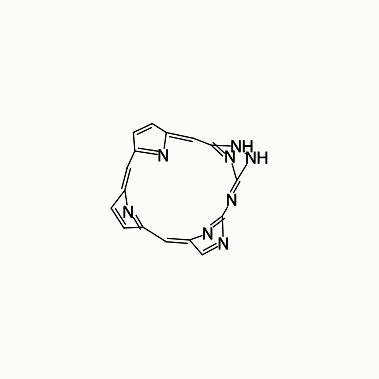 C1=CC2=NC1=CC1=NC(=NC3=NC(=CC4=NC(=C2)C=C4)C=N3)NN1